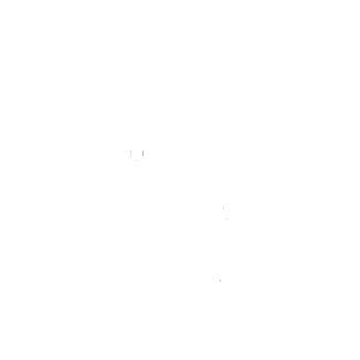 CCOC1C=CSS1